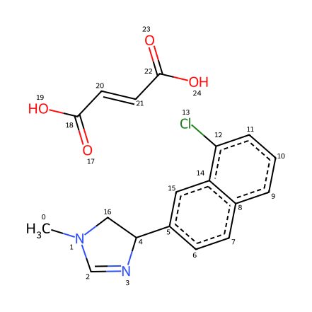 CN1C=NC(c2ccc3cccc(Cl)c3c2)C1.O=C(O)/C=C/C(=O)O